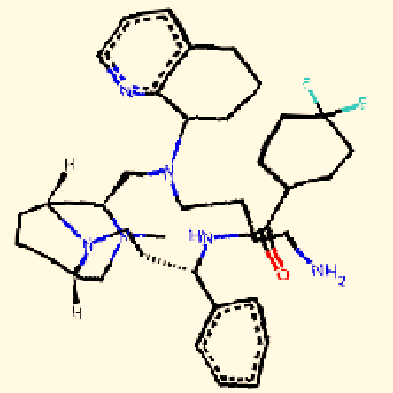 CN1C[C@@H]2CC[C@H]([C@H]1CN(CCCCN)C1CCCc3cccnc31)N2CC[C@H](NC(=O)C1CCC(F)(F)CC1)c1ccccc1